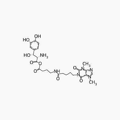 Cn1cnc2c1c(=O)n(CCCCC(=O)NCCCC(=O)OC(=O)[C@@H](N)[C@H](O)c1ccc(O)c(O)c1)c(=O)n2C